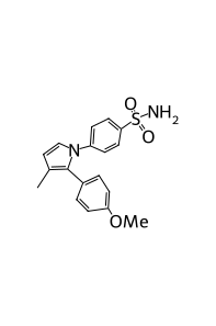 COc1ccc(-c2c(C)ccn2-c2ccc(S(N)(=O)=O)cc2)cc1